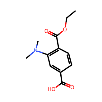 CCOC(=O)c1ccc(C(=O)O)cc1N(C)C